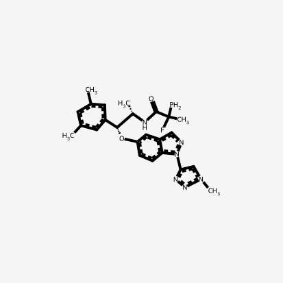 Cc1cc(C)cc([C@@H](Oc2ccc3c(cnn3-c3cn(C)nn3)c2)[C@H](C)NC(=O)C(C)(F)P)c1